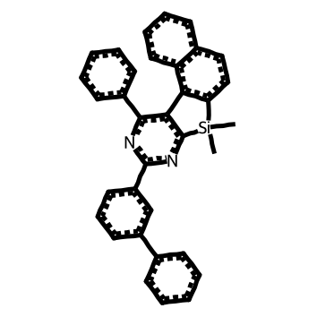 C[Si]1(C)c2ccc3ccccc3c2-c2c(-c3ccccc3)nc(-c3cccc(-c4ccccc4)c3)nc21